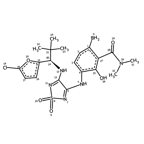 Bc1ccc(NC2=NS(=O)(=O)N=C2N[C@@H](c2ccc(Cl)o2)C(C)(C)C)c(O)c1C(=O)N(C)C